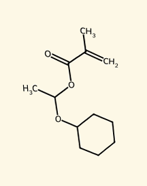 C=C(C)C(=O)OC(C)OC1CCCCC1